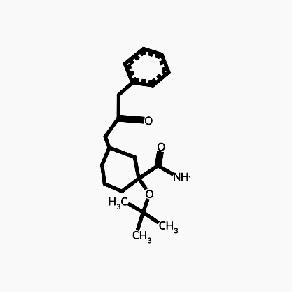 CC(C)(C)OC1(C([NH])=O)CCCC(CC(=O)Cc2ccccc2)C1